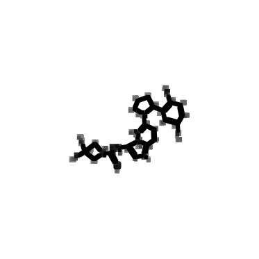 O=C(Nc1cnc2ccc(N3CCCC3c3cc(F)ccc3F)nn12)N1CC(F)(F)C1